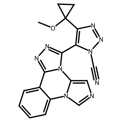 COC1(c2nnn(C#N)c2-c2nnc3c4ccccc4n4cncc4n23)CC1